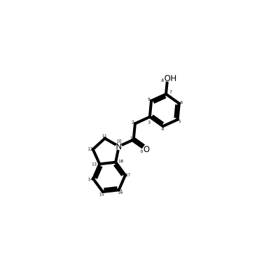 O=C(Cc1cccc(O)c1)N1CCc2cc[c]cc21